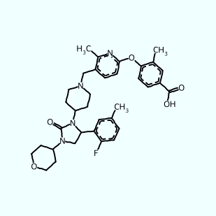 Cc1ccc(F)c(C2CN(C3CCOCC3)C(=O)N2C2CCN(Cc3ccc(Oc4ccc(C(=O)O)cc4C)nc3C)CC2)c1